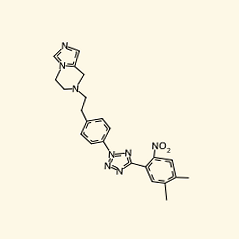 Cc1cc(-c2nnn(-c3ccc(CCN4CCn5cncc5C4)cc3)n2)c([N+](=O)[O-])cc1C